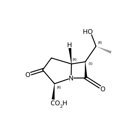 C[C@@H](O)[C@H]1C(=O)N2[C@@H](C(=O)O)C(=O)C[C@H]12